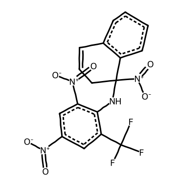 O=[N+]([O-])c1cc([N+](=O)[O-])c(NC2([N+](=O)[O-])CC=Cc3ccccc32)c(C(F)(F)F)c1